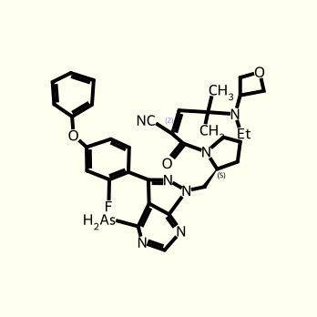 CCN(C1COC1)C(C)(C)/C=C(/C#N)C(=O)N1CCC[C@H]1Cn1nc(-c2ccc(Oc3ccccc3)cc2F)c2c([AsH2])ncnc21